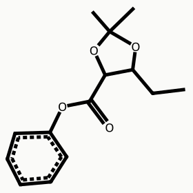 CCC1OC(C)(C)OC1C(=O)Oc1ccccc1